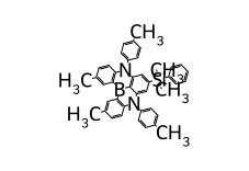 Cc1ccc(N2c3ccc(C)cc3B3c4cc(C)ccc4N(c4ccc(C)cc4)c4cc([Si](C)(C)c5ccccc5)cc2c43)cc1